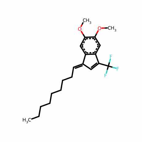 CCCCCCCC/C=C1\C=C(C(F)(F)F)c2cc(OC)c(OC)cc21